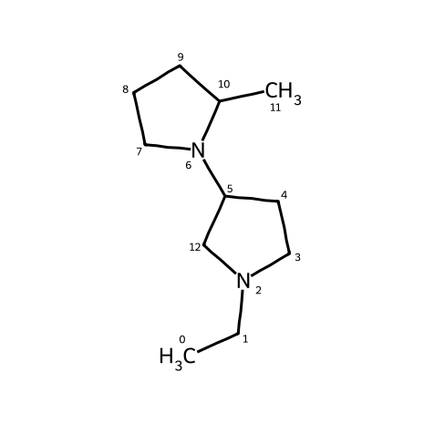 CCN1CCC(N2CCCC2C)C1